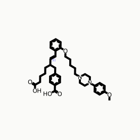 COc1ccc(N2CCN(CCCCCOc3ccccc3/C=C/C(CCCCC(=O)O)Cc3ccc(C(=O)O)cc3)CC2)cc1